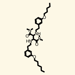 CCCCCCOc1cccc(CCNC(C(=O)N(C)C)C(NCCc2cccc(OCCCCC)c2)C(=O)N(C)C)c1